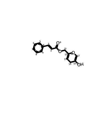 O=C(C=Cc1ccccc1)OCC1=CCC(O)=CO1